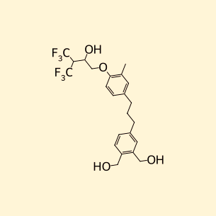 Cc1cc(CCCc2ccc(CO)c(CO)c2)ccc1OCC(O)C(C(F)(F)F)C(F)(F)F